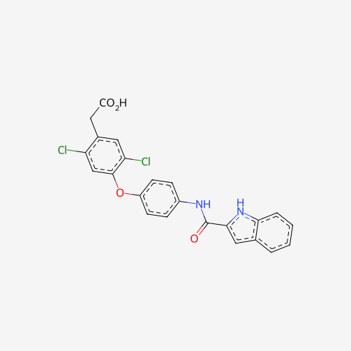 O=C(O)Cc1cc(Cl)c(Oc2ccc(NC(=O)c3cc4ccccc4[nH]3)cc2)cc1Cl